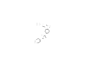 CN1C(=O)C(=CO)c2cc(-c3csc(-c4ccncc4)n3)ccc21